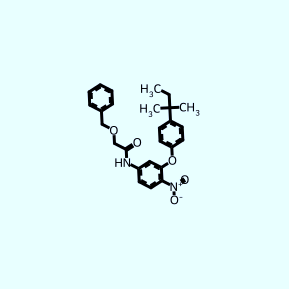 CCC(C)(C)c1ccc(Oc2cc(NC(=O)COCc3ccccc3)ccc2[N+](=O)[O-])cc1